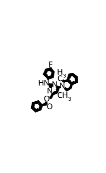 Cc1c(COC(=O)c2ccccc2)nc(Nc2ccc(F)cc2)nc1N1CCc2ccccc2C1C